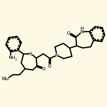 CC(C)(C)CCC1CC(=O)C(CC(=O)N2CCC(C3CCc4ccccc4NC3=O)CC2)SC(c2ccccc2N)C1